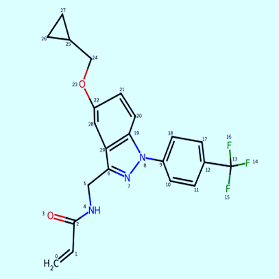 C=CC(=O)NCc1nn(-c2ccc(C(F)(F)F)cc2)c2ccc(OCC3CC3)cc12